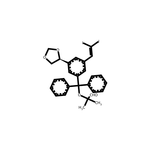 CC(C)(C=O)OC(c1ccccc1)(c1ccccc1)c1cc(C=C(I)I)cc([C@H]2COCO2)c1